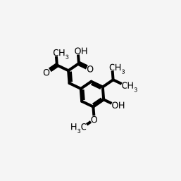 COc1cc(C=C(C(C)=O)C(=O)O)cc(C(C)C)c1O